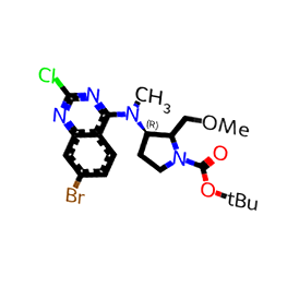 COCC1[C@H](N(C)c2nc(Cl)nc3cc(Br)ccc23)CCN1C(=O)OC(C)(C)C